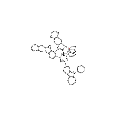 c1ccc(-c2nc(-c3ccc4c5ccccc5n(-c5ccccc5)c4c3)nc(-c3ccc4c(oc5cc6ccccc6cc54)c3-n3c4cc5ccccc5cc4c4cc5ccccc5cc43)n2)cc1